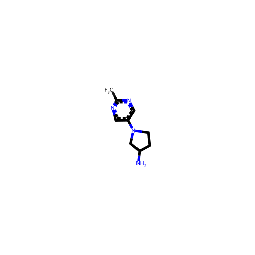 NC1CCN(c2cnc(C(F)(F)F)nc2)C1